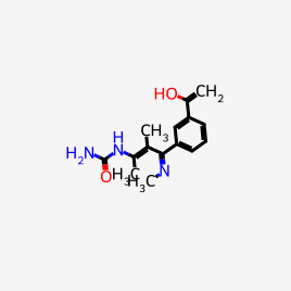 C=C(O)c1cccc(C(=N/C)/C(C)=C(\C)NC(N)=O)c1